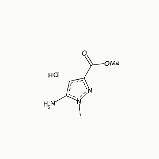 COC(=O)c1cc(N)n(C)n1.Cl